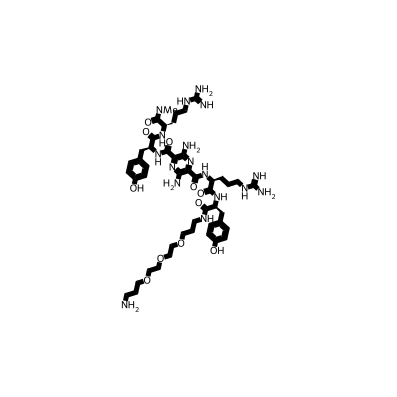 CNC(=O)[C@H](CCCNC(=N)N)NC(=O)[C@H](Cc1ccc(O)cc1)NC(=O)c1nc(N)c(C(=O)N[C@@H](CCCNC(=N)N)C(=O)N[C@@H](Cc2ccc(O)cc2)C(=O)NCCCOCCOCCOCCCN)nc1N